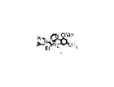 CCc1nc2c(-c3c(C)cc(C)cc3OC)nccn2c1N(CC(C)C)CC1CC1